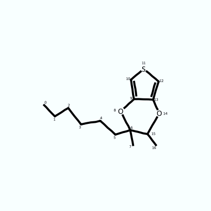 CCCCCCC1(C)Oc2cscc2OC1C